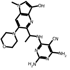 CC(Nc1nc(N)nc(N)c1C#N)c1nc2c(O)cn(C)c2cc1N1CCOCC1